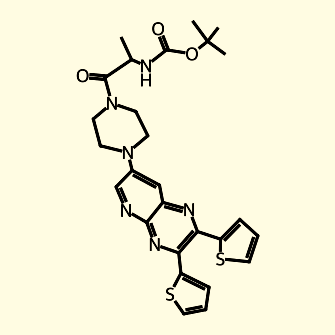 CC(NC(=O)OC(C)(C)C)C(=O)N1CCN(c2cnc3nc(-c4cccs4)c(-c4cccs4)nc3c2)CC1